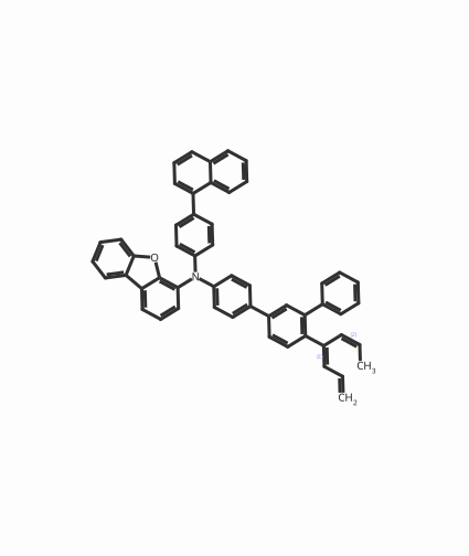 C=C/C=C(\C=C/C)c1ccc(-c2ccc(N(c3ccc(-c4cccc5ccccc45)cc3)c3cccc4c3oc3ccccc34)cc2)cc1-c1ccccc1